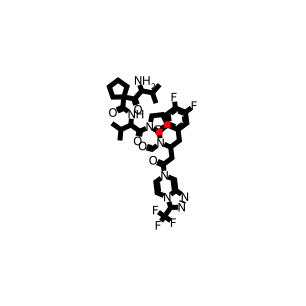 CC(C)C(N)C(=O)C1(C(=O)NC(C(=O)N2CCCC2N(C=O)C(CC(=O)N2C=CN3C(=C2)N=NC3C(F)(F)F)Cc2cc(F)c(F)cc2F)C(C)C)CCCC1